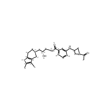 CC(=O)N1CC(Nc2cc(C(=O)NC[C@H](O)CN3CCc4sc(C)c(C)c4C3)ncn2)C1